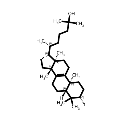 C[C@H](CCCC(C)(C)O)[C@H]1CC[C@@]2(C)C3=C(CC[C@]12C)[C@@]1(C)CC[C@H](I)C(C)(C)[C@@H]1CC3